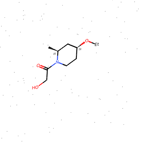 CCO[C@H]1CCN(C(=O)CO)[C@@H](C)C1